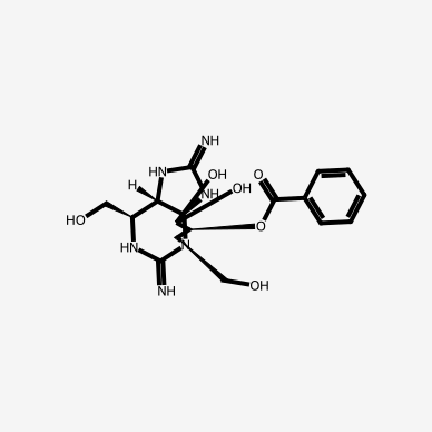 N=C1N[C@H]2[C@H](CO)NC(=N)N3[C@@H](CO)[C@H](OC(=O)c4ccccc4)C(O)(O)[C@]23N1